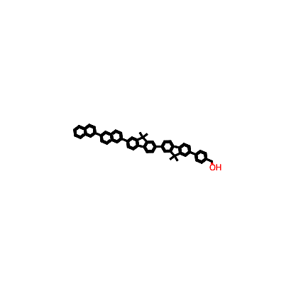 CC1(C)c2cc(-c3ccc(CO)cc3)ccc2-c2ccc(-c3ccc4c(c3)C(C)(C)c3cc(-c5ccc6cc(-c7ccc8ccccc8c7)ccc6c5)ccc3-4)cc21